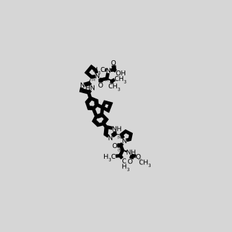 COC(=O)N[C@H](C(=O)N1CCC[C@H]1c1ncc(-c2ccc3c(c2)C2(CCC2)c2cc(-c4cnc([C@@H]5CCCN5C(=O)[C@H](C(C)C)N(C)C(=O)O)[nH]4)ccc2-3)[nH]1)C(C)C